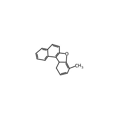 CC1=C2Oc3ccc4ccccc4c3C2CC=C1